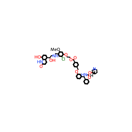 COc1cc(OCCOC(=O)c2ccc(COc3cccc([C@@H](NC(=O)O[C@H]4CN5CCC4CC5)c4ccccc4)c3)cc2)c(Cl)cc1CNC[C@H](O)c1ccc(O)c2[nH]c(=O)ccc12